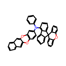 c1ccc(N(c2ccc3c(c2)Oc2cc4ccccc4cc2O3)c2cccc3c2-c2ccccc2C32c3ccccc3Oc3ccccc32)cc1